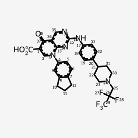 O=C(O)c1cn(-c2ccc3c(c2)CCC3)c2nc(Nc3ccc(C4CCN(CC(F)(F)C(F)(F)F)CC4)cc3)ncc2c1=O